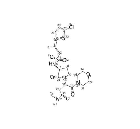 C/C(=C\S(=O)(=O)N[C@H]1CCN([C@@H](CC(=O)N(C)C)C(=O)N2CCOCC2)C1=O)c1ccc(Cl)s1